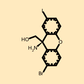 N[C@]1(CO)c2cc(Br)ccc2Oc2ccc(I)cc21